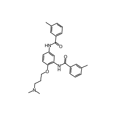 Cc1cccc(C(=O)Nc2ccc(OCCCN(C)C)c(NC(=O)c3cccc(C)c3)c2)c1